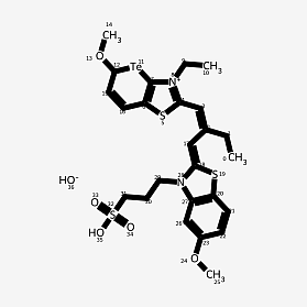 CCC(=Cc1sc2c([n+]1CC)[Te]C(OC)C=C2)C=C1Sc2ccc(OC)cc2N1CCCS(=O)(=O)O.[OH-]